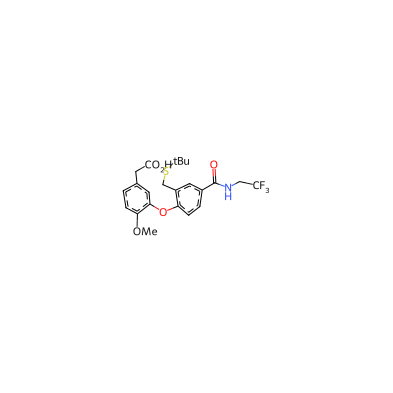 COc1ccc(CC(=O)O)cc1Oc1ccc(C(=O)NCC(F)(F)F)cc1CSC(C)(C)C